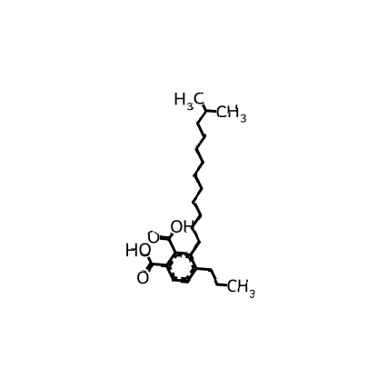 CCCc1ccc(C(=O)O)c(C(=O)O)c1CCCCCCCCCCC(C)C